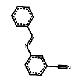 N#Cc1cccc(N=Cc2ccccc2)c1